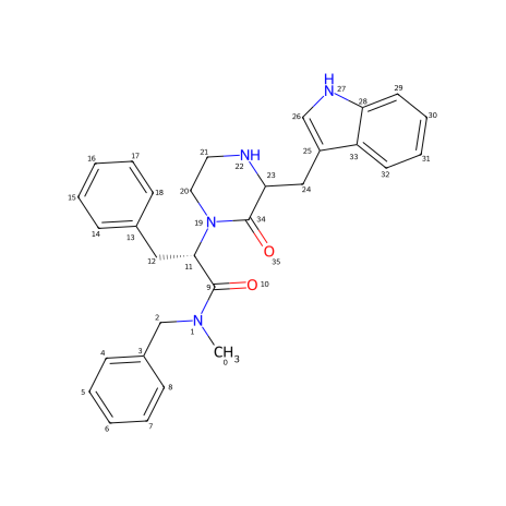 CN(Cc1ccccc1)C(=O)[C@H](Cc1ccccc1)N1CCNC(Cc2c[nH]c3ccccc23)C1=O